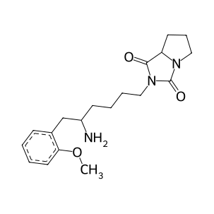 COc1ccccc1CC(N)CCCCN1C(=O)C2CCCN2C1=O